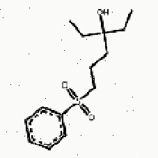 CCC(O)(CC)CCCS(=O)(=O)c1ccccc1